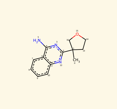 CC1(c2nc(N)c3ccccc3n2)CCOC1